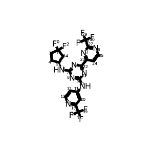 FC1(F)CC[C@H](Nc2nc(Nc3ccnc(C(F)(F)F)c3)nc(-c3ccnc(C(F)(F)F)n3)n2)C1